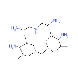 CC1CC(CC2CC(C)C(N)C(C)C2)CC(C)C1N.NCCNCCN